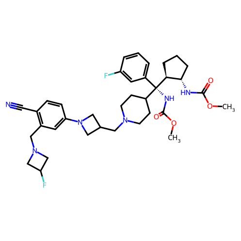 COC(=O)N[C@H]1CCC[C@@H]1[C@](NC(=O)OC)(c1cccc(F)c1)C1CCN(CC2CN(c3ccc(C#N)c(CN4CC(F)C4)c3)C2)CC1